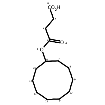 O=C(O)CCC(=O)OC1CCCCCCCCC1